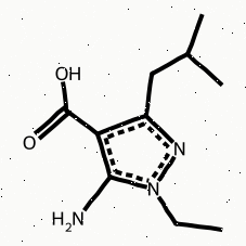 CCn1nc(CC(C)C)c(C(=O)O)c1N